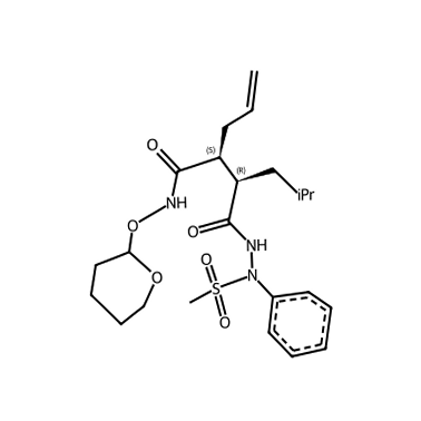 C=CC[C@H](C(=O)NOC1CCCCO1)[C@@H](CC(C)C)C(=O)NN(c1ccccc1)S(C)(=O)=O